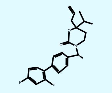 C=CCC1(C(C)C)CCN([C@@H](C)c2ccc(-c3ccc(F)cc3F)cc2)C(=O)O1